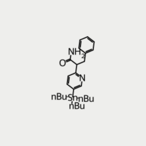 CCC[CH2][Sn]([CH2]CCC)([CH2]CCC)[c]1ccc(C(Cc2ccccc2)C(N)=O)nc1